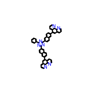 c1ccc(-c2nc(-c3ccc4cc(-c5cc6cccnc6c6ncccc56)ccc4c3)nc(-c3ccc4cc(-c5cc6cccnc6c6ncccc56)ccc4c3)n2)cc1